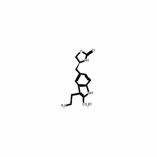 CCOC(=O)c1[nH]c2ccc(C[C@H]3COC(=O)N3)cc2c1CCN